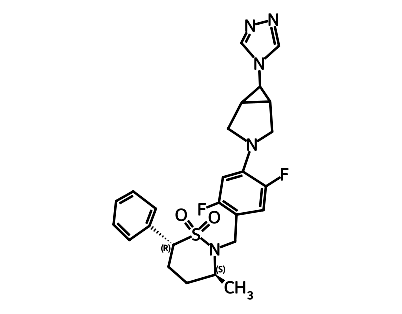 C[C@H]1CC[C@H](c2ccccc2)S(=O)(=O)N1Cc1cc(F)c(N2CC3C(C2)C3n2cnnc2)cc1F